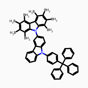 Bc1c(B)c(B)c2c(c1B)c1c(B)c(B)c(B)c(B)c1n2-c1ccc2c(c1)c1ccccc1n2-c1ccc(C(c2ccccc2)(c2ccccc2)c2ccccc2)cc1